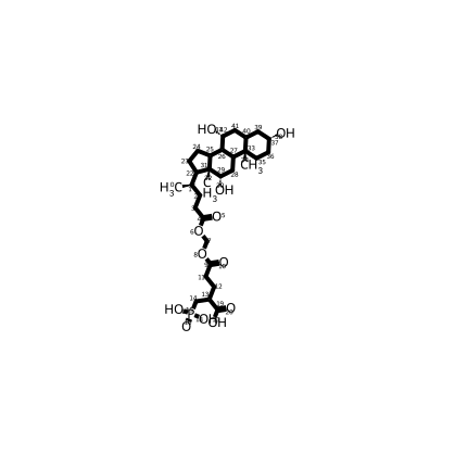 C[C@H](CCC(=O)OCOC(=O)CCC(CP(=O)(O)O)C(=O)O)C1CCC2C3C(C[C@H](O)[C@@]21C)[C@@]1(C)CC[C@@H](O)CC1C[C@H]3O